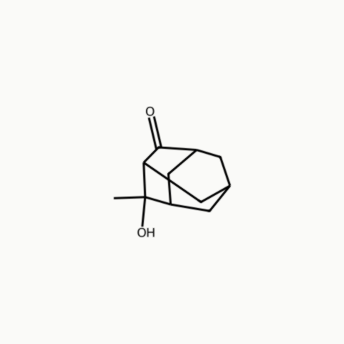 CC1(O)C2CC3CC(C2)C(=O)C1C3